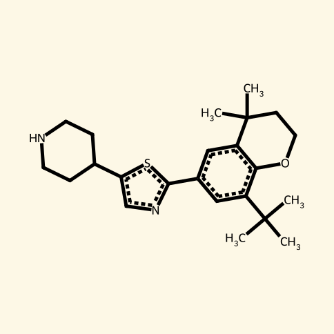 CC(C)(C)c1cc(-c2ncc(C3CCNCC3)s2)cc2c1OCCC2(C)C